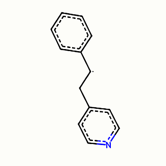 [CH](Cc1ccncc1)c1ccccc1